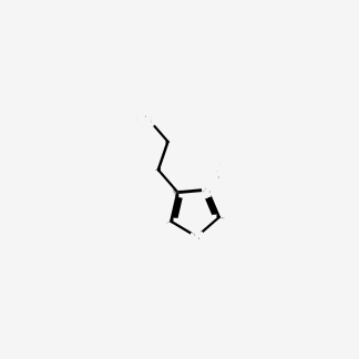 NCCc1c[nH]cn1.[Zn]